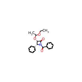 CCOC(C)O[C@@H]1C(=O)N(C(=O)c2ccccc2)[C@@H]1c1ccccc1